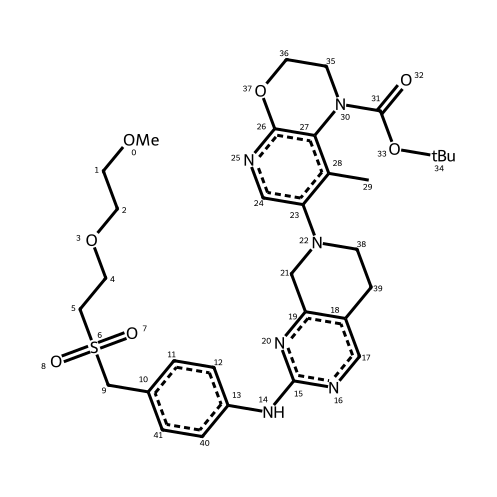 COCCOCCS(=O)(=O)Cc1ccc(Nc2ncc3c(n2)CN(c2cnc4c(c2C)N(C(=O)OC(C)(C)C)CCO4)CC3)cc1